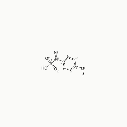 COc1ccc([N+](=[N-])S(=O)(=O)O)cc1